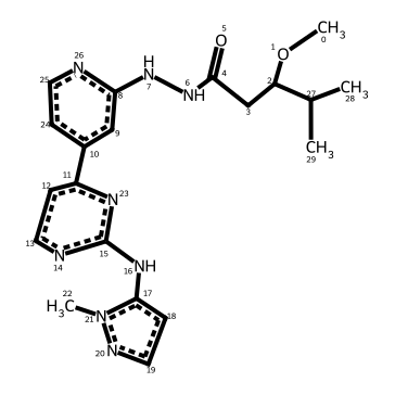 COC(CC(=O)NNc1cc(-c2ccnc(Nc3ccnn3C)n2)ccn1)C(C)C